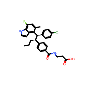 CCC[C@H](c1ccc(C(=O)NCCC(=O)O)cc1)[C@H](c1ccc(Cl)cc1)c1c(C)cc(F)c2[nH]ccc12